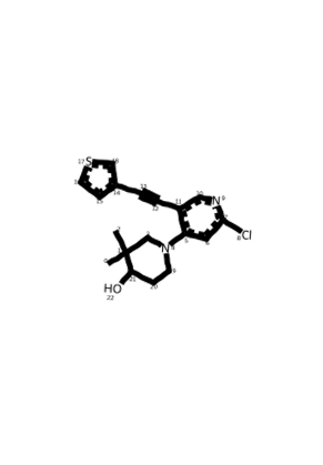 CC1(C)CN(c2cc(Cl)ncc2C#Cc2ccsc2)CCC1O